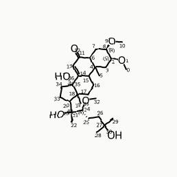 CO[C@H]1CC2(C)C(C[C@H]1OC)C(=O)C=C1C2CCC2(C)C([C@@](C)(O)[C@@H](CCC(C)(C)O)OC)CC[C@@]12O